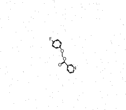 O=C(OCOc1ccc(F)cc1)c1cccnc1